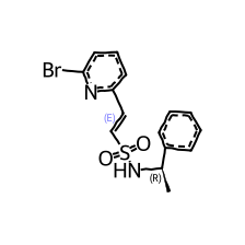 C[C@@H](NS(=O)(=O)/C=C/c1cccc(Br)n1)c1ccccc1